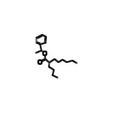 CCCCCCC(CCCC)C(=O)OC(C)c1ccccc1